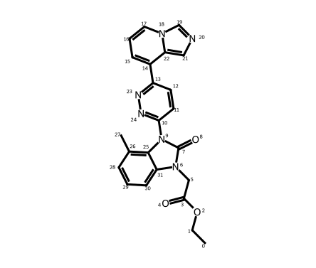 CCOC(=O)Cn1c(=O)n(-c2ccc(-c3cccn4cncc34)nn2)c2c(C)cccc21